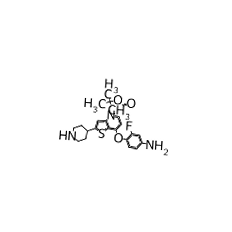 CC(C)(C)OC=O.Nc1ccc(Oc2ccnc3cc(C4CCNCC4)sc23)c(F)c1